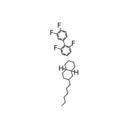 CCCCCCC1CC[C@@H]2C[C@H](c3cc(F)c(-c4ccc(F)c(F)c4)c(F)c3)CC[C@@H]2C1